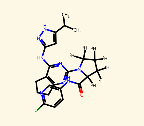 [2H]C1([2H])N(c2nc3c(c(Nc4cc(C(C)C)[nH]n4)n2)CCC3)C([2H])(C(=O)Nc2ccc(F)nc2)C([2H])([2H])C1([2H])[2H]